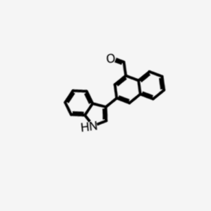 O=Cc1cc(-c2c[nH]c3ccccc23)cc2ccccc12